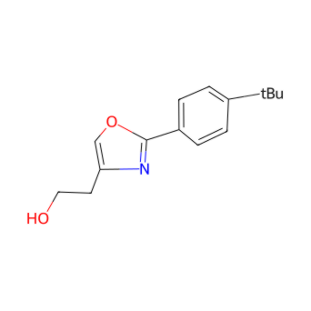 CC(C)(C)c1ccc(-c2nc(CCO)co2)cc1